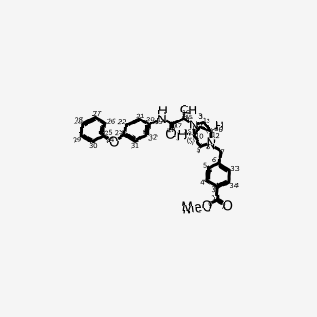 COC(=O)c1ccc(CN2C[C@@H]3C[C@H]2CN3[C@H](C)C(=O)Nc2ccc(Oc3ccccc3)cc2)cc1